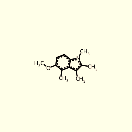 COc1ccc2c(c1C)c(C)c(C)n2C